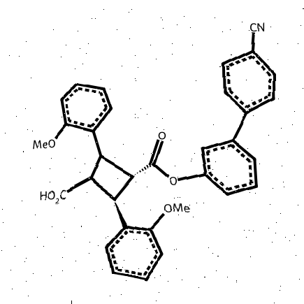 COc1ccccc1C1C(C(=O)O)[C@H](c2ccccc2OC)[C@H]1C(=O)Oc1cccc(-c2ccc(C#N)cc2)c1